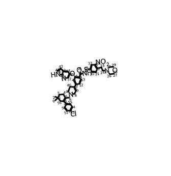 CC1(C)CCC(CN2CC=C(c3ccc(C(=O)NSc4ccc(CCN5CCOCC5)c([N+](=O)[O-])c4)c(Oc4cnc5[nH]ccc5c4)c3)CC2)=C(c2ccc(Cl)cc2)C1